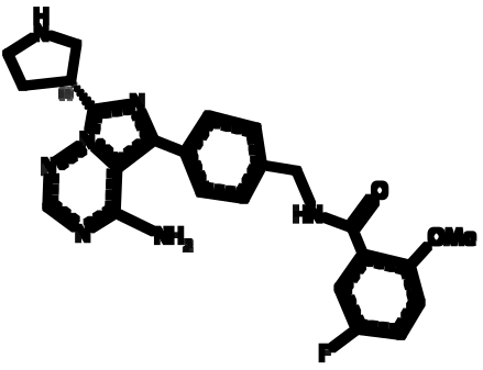 COc1ccc(F)cc1C(=O)NCc1ccc(-c2nc([C@@H]3CCNC3)n3ncnc(N)c23)cc1